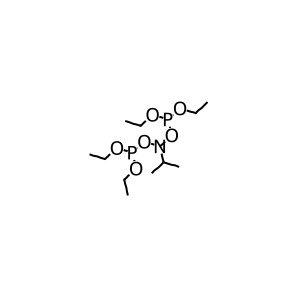 CCOP(OCC)ON(OP(OCC)OCC)C(C)C